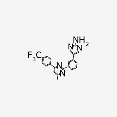 Cc1cc(-c2ccc(C(F)(F)F)cc2)nc(-c2cccc(-c3cnc(N)nc3)c2)n1